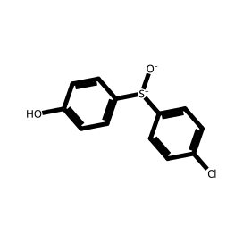 [O-][S+](c1ccc(O)cc1)c1ccc(Cl)cc1